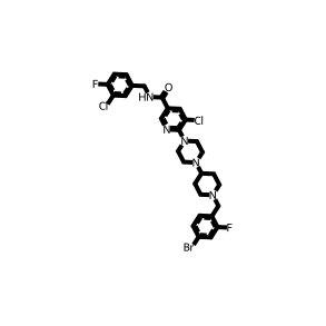 O=C(NCc1ccc(F)c(Cl)c1)c1cnc(N2CCN(C3CCN(Cc4ccc(Br)cc4F)CC3)CC2)c(Cl)c1